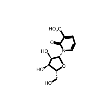 O=C(O)c1cccn([C@@H]2O[C@H](CO)[C@@H](O)[C@H]2O)c1=O